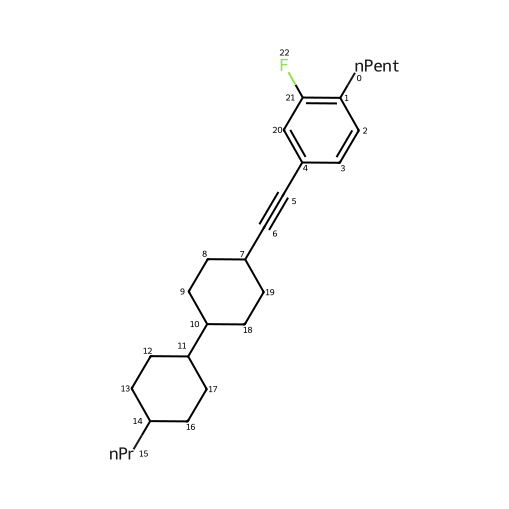 CCCCCc1ccc(C#CC2CCC(C3CCC(CCC)CC3)CC2)cc1F